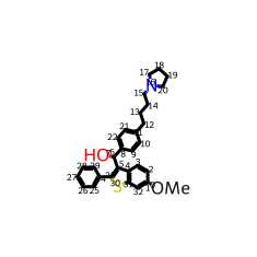 COc1ccc2c(C(O)c3ccc(CCCCN4CCCC4)cc3)c(-c3ccccc3)sc2c1